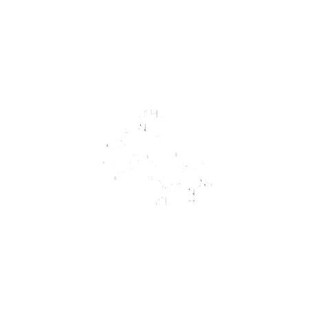 CN1Cc2ccccc2C(c2cc(Cl)c3[nH]ncc3c2)C1